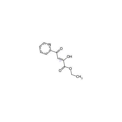 CCOC(=O)/C(O)=C/C(=O)c1ccccn1